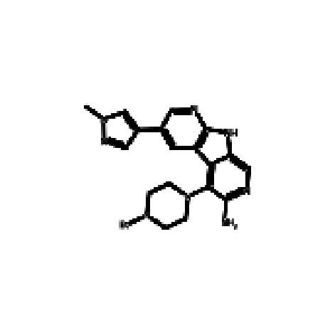 CCN1CCN(c2c(N)ncc3[nH]c4ncc(-c5cnn(C)c5)cc4c23)CC1